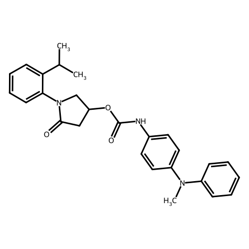 CC(C)c1ccccc1N1CC(OC(=O)Nc2ccc(N(C)c3ccccc3)cc2)CC1=O